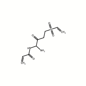 C=CC(=O)NC(N)C(=O)CCS(=O)(=O)C=C